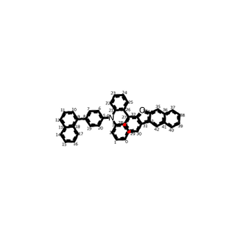 c1ccc(N(c2ccc(-c3cccc4ccccc34)cc2)c2ccccc2-c2cccc3c2oc2cc4ccccc4cc23)cc1